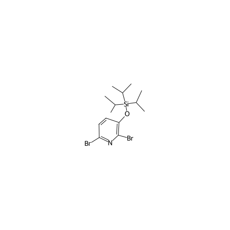 CC(C)[Si](Oc1ccc(Br)nc1Br)(C(C)C)C(C)C